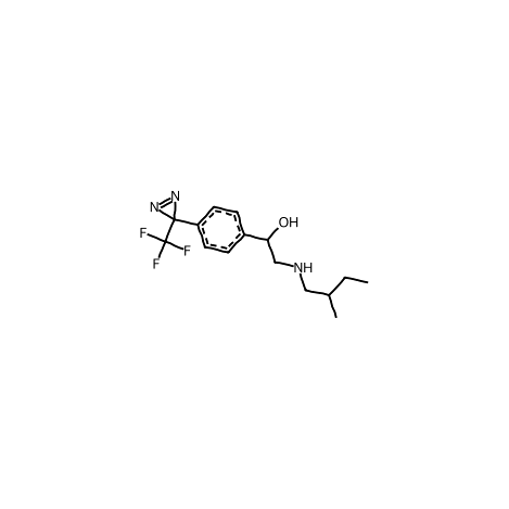 CCC(C)CNCC(O)c1ccc(C2(C(F)(F)F)N=N2)cc1